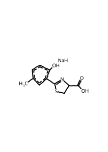 Cc1ccc(O)c(C2=NC(C(=O)O)CS2)c1.[NaH]